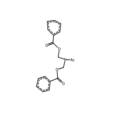 CC(=O)N(COC(=O)c1ccccc1)COC(=O)c1ccccc1